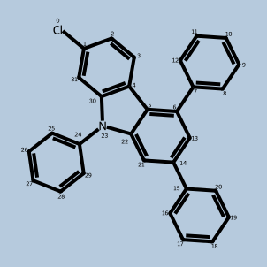 Clc1ccc2c3c(-c4ccccc4)cc(-c4ccccc4)cc3n(-c3ccccc3)c2c1